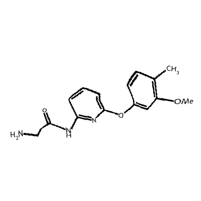 COc1cc(Oc2cccc(NC(=O)CN)n2)ccc1C